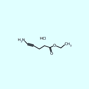 CCOC(=O)CCC#CN.Cl